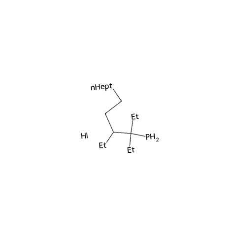 CCCCCCCCCC(CC)C(P)(CC)CC.I